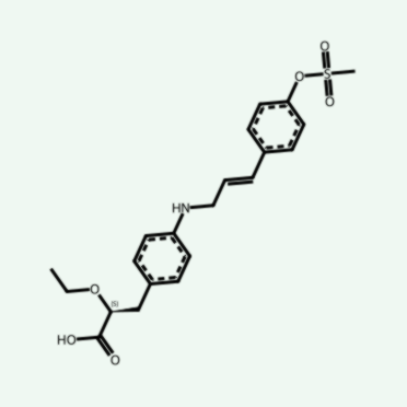 CCO[C@@H](Cc1ccc(NCC=Cc2ccc(OS(C)(=O)=O)cc2)cc1)C(=O)O